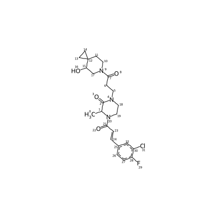 CC1C(=O)N(CCC(=O)N2CCC3(CC3)C(O)C2)CCN1C(=O)C=Cc1ccc(F)c(Cl)c1